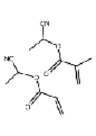 C=C(C)C(=O)OC(C)C#N.C=CC(=O)OC(C)C#N